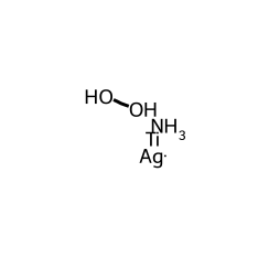 N.OO.[Ag].[Ti]